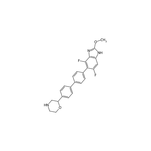 COc1nc2c(F)c(-c3ccc(-c4ccc(C5CNCCO5)cc4)cc3)c(F)cc2[nH]1